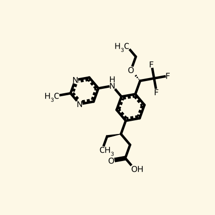 CCO[C@@H](c1ccc([C@H](CC)CC(=O)O)cc1Nc1cnc(C)nc1)C(F)(F)F